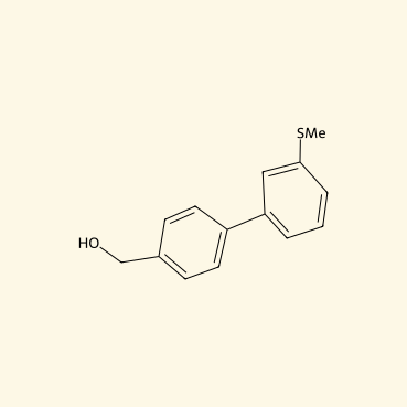 CSc1cccc(-c2ccc(CO)cc2)c1